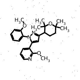 COc1ccccc1-n1nc(C2CCC(C)(C)OC2(C)C)cc1-c1cccnc1OC